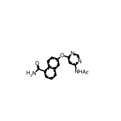 CC(=O)Nc1cc(Oc2ccc3c(C(N)=O)cccc3c2)ncn1